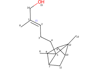 C/C(=C\CCC1(C)C2CC3C(C2)C31C)CO